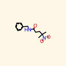 CC(C)(CCC(=O)NCc1ccccc1)[N+](=O)[O-]